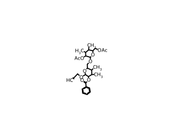 C#CCOC1OC(COC2OC(COC(C)=O)C(C)C(C)C2OC(C)=O)C(C)C(C)C1OC(=O)c1ccccc1